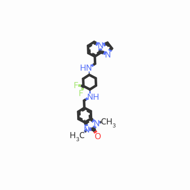 Cn1c(=O)n(C)c2cc(CN[C@@H]3CC[C@@H](NCc4cccn5ccnc45)CC3(F)F)ccc21